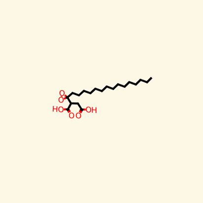 CCCCCCCCCCCCCCCC1(C(CC(=O)O)C(=O)O)OO1